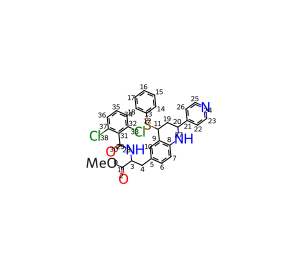 COC(=O)C(Cc1ccc2c(c1)C(Sc1ccccc1)CC(c1ccncc1)N2)NC(=O)c1c(Cl)cccc1Cl